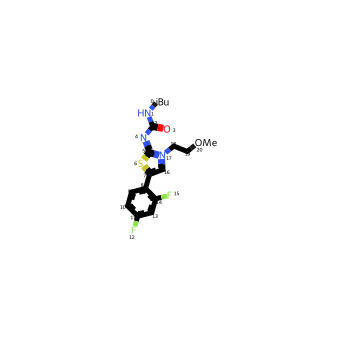 CCC(C)NC(=O)N=c1sc(-c2ccc(F)cc2F)cn1CCOC